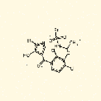 CCn1ncc(C(=O)c2ccc(Cl)c(OC(C)NS(=O)(=O)CC)c2Cl)c1O